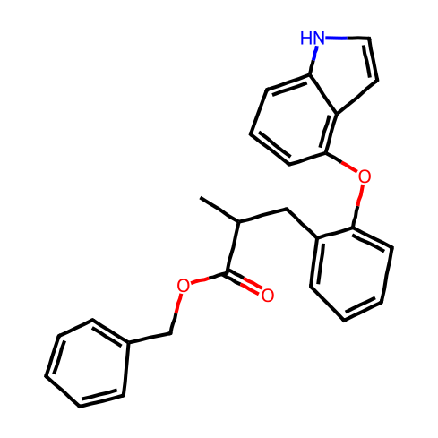 CC(Cc1ccccc1Oc1cccc2[nH]ccc12)C(=O)OCc1ccccc1